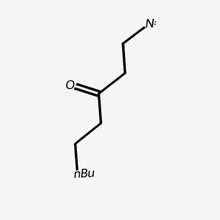 CCCCCCC(=O)CC[N]